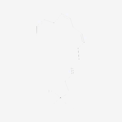 CC/C=C\C/C=C\C/C=C\CC/C=C/CSC(C)(C)C(=O)O